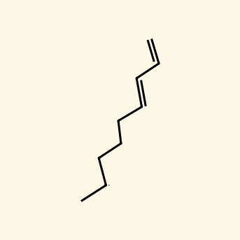 C=CC=CCCC[CH]C